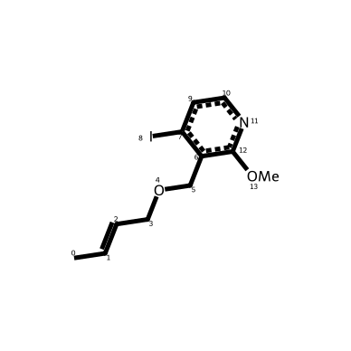 CC=CCOCc1c(I)ccnc1OC